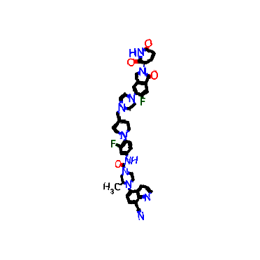 C[C@H]1CN(C(=O)Nc2ccc(N3CCC(CN4CCN(c5cc6c(cc5F)C(=O)N([C@H]5CCC(=O)NC5=O)C6)CC4)CC3)c(F)c2)CCN1c1ccc(C#N)c2ncccc12